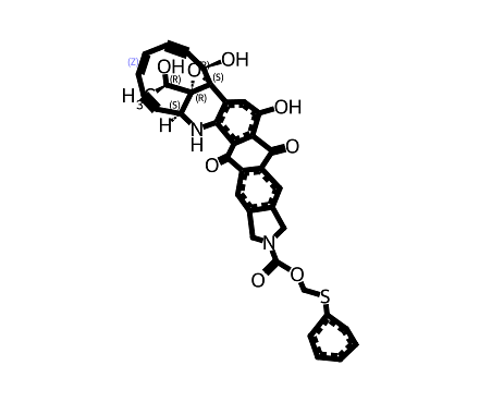 C[C@@H](O)[C@@]12O[C@]13c1cc(O)c4c(c1N[C@H]2C#C/C=C\C#C[C@H]3O)C(=O)c1cc2c(cc1C4=O)CN(C(=O)OCSc1ccccc1)C2